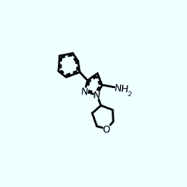 Nc1cc(-c2ccccc2)nn1C1CCOCC1